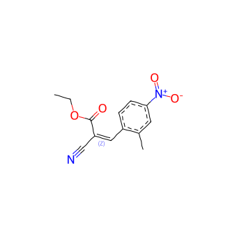 CCOC(=O)/C(C#N)=C\c1ccc([N+](=O)[O-])cc1C